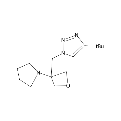 CC(C)(C)c1cn(CC2(N3CCCC3)COC2)nn1